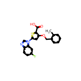 Cc1ccccc1COc1cc(-n2cnc3ccc(F)cc32)sc1C(=O)O